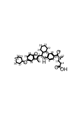 Cc1c(C(Nc2ccc(C(=O)N(C)CCC(=O)O)cc2)C2CCCCC2)oc2ccc(OC3CCSCC3)cc12